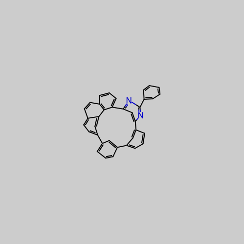 c1ccc(-c2nc3cc(n2)c2cccc4ccc5ccc(cc5c42)c2cccc(c2)c2cccc3c2)cc1